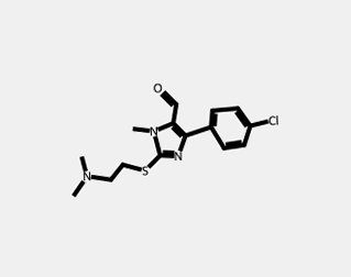 CN(C)CCSc1nc(-c2ccc(Cl)cc2)c(C=O)n1C